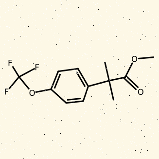 COC(=O)C(C)(C)c1ccc(OC(F)(F)F)cc1